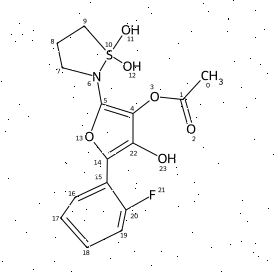 CC(=O)Oc1c(N2CCCS2(O)O)oc(-c2ccccc2F)c1O